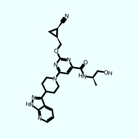 C[C@H](CO)NC(=O)c1cc(N2CCC(c3n[nH]c4ncccc34)CC2)nc(OC[C@H]2C[C@H]2C#N)n1